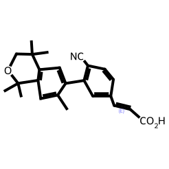 Cc1cc2c(cc1-c1cc(/C=C/C(=O)O)ccc1C#N)C(C)(C)COC2(C)C